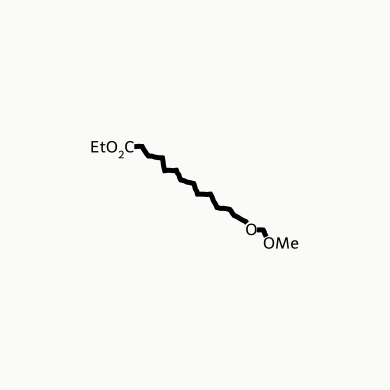 CCOC(=O)CCCCCCCCCCCCCOCOC